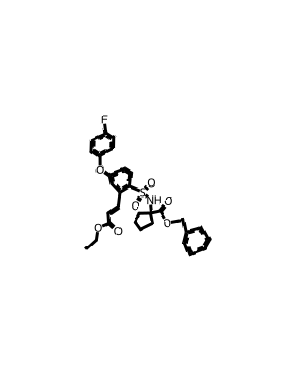 CCOC(=O)C=Cc1cc(Oc2ccc(F)cc2)ccc1S(=O)(=O)NC1(C(=O)OCc2ccccc2)CCCC1